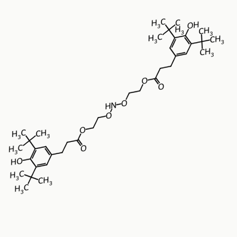 CC(C)(C)c1cc(CCC(=O)OCCONOCCOC(=O)CCc2cc(C(C)(C)C)c(O)c(C(C)(C)C)c2)cc(C(C)(C)C)c1O